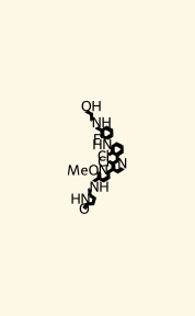 COc1nc(-c2ccnc(-c3cccc(Nc4cccc(CNCCCO)c4F)c3Cl)c2Cl)ccc1CNCC1CCC(=O)N1